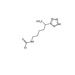 CCC(=O)NCCCCC(C(=O)O)c1c[nH]nn1